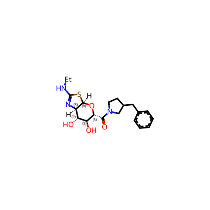 CCNC1=N[C@@H]2[C@@H](O)[C@H](O)[C@@H](C(=O)N3CCC(Cc4ccccc4)C3)O[C@@H]2S1